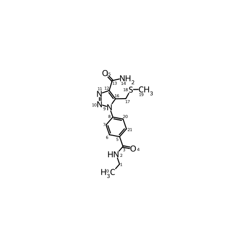 CCNC(=O)c1ccc(-n2nnc(C(N)=O)c2CSC)cc1